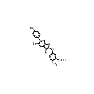 CC(=O)c1ccc(-c2nc3nc(Oc4ccc(C)c(C(=O)O)c4)[nH]c3cc2Cl)cc1